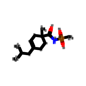 CC(C)CC1=CCC(C)(C(=O)NS(C)(=O)=O)CC1